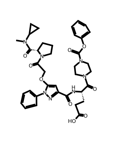 CN(C(=O)[C@@H]1CCCN1C(=O)COc1cc(C(=O)N[C@@H](CCC(=O)O)C(=O)N2CCN(C(=O)Oc3ccccc3)CC2)nn1-c1ccccc1)C1CC1